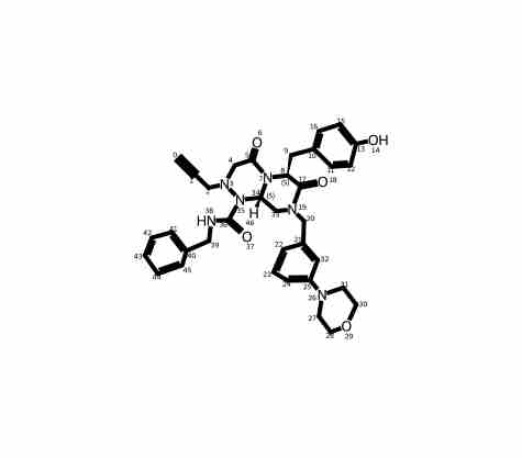 C#CCN1CC(=O)N2[C@@H](Cc3ccc(O)cc3)C(=O)N(Cc3cccc(N4CCOCC4)c3)C[C@@H]2N1C(=O)NCc1ccccc1